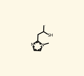 [CH2]C(S)Cc1nccn1C